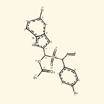 C=CC(c1ccc(C(C)C)cc1)S(=O)(=O)C(OC(=O)CC)c1cc2cc(Cl)ccc2[nH]1